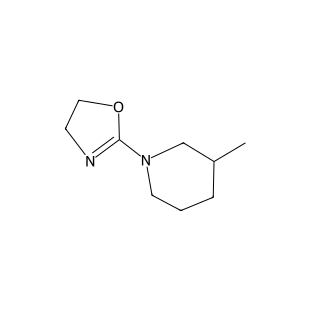 CC1CCCN(C2=NCCO2)C1